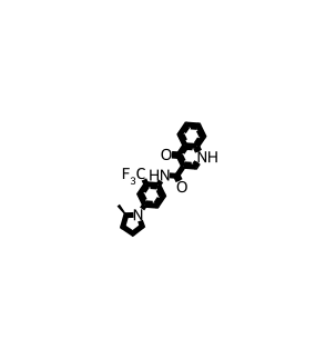 C[C@@H]1CCCN1c1ccc(NC(=O)c2c[nH]c3ccccc3c2=O)c(C(F)(F)F)c1